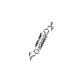 FC(F)=Cc1ccc(C(F)(F)C(F)(F)C(F)(F)C(F)(F)C(F)(F)C(F)(F)c2ccc(C=C(F)F)cc2)cc1